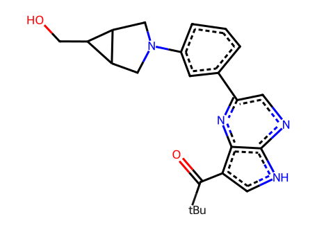 CC(C)(C)C(=O)c1c[nH]c2ncc(-c3cccc(N4CC5C(CO)C5C4)c3)nc12